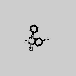 CC(C)C1C=CC(P(Cl)Cl)=C(N(C)c2ccccc2)C1